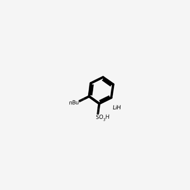 CCCCc1ccccc1S(=O)(=O)O.[LiH]